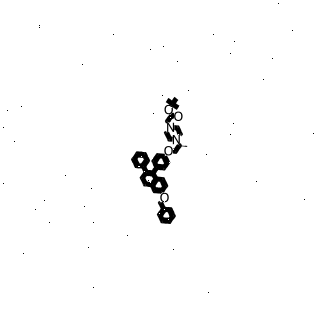 C[C@H](COc1ccc(C2=C(c3ccccc3)CCc3cc(OCc4ccccc4)ccc32)cc1)N1CCN(CC(=O)OC(C)(C)C)CC1